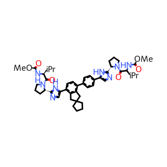 COC(=O)NC(C(=O)N1CCC[C@H]1c1ncc(-c2ccc(-c3ccc(-c4cnc([C@@H]5CCCN5C(=O)[C@@H](NC(=O)OC)C(C)C)[nH]4)c4c3CC3(CCCC3)C4)cc2)[nH]1)C(C)C